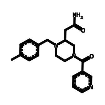 Cc1ccc(CN2CCN(C(=O)c3cccnc3)CC2CC(N)=O)cc1